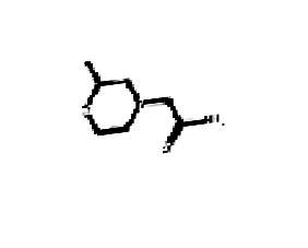 CC1CN([CH]C(N)=O)CCO1